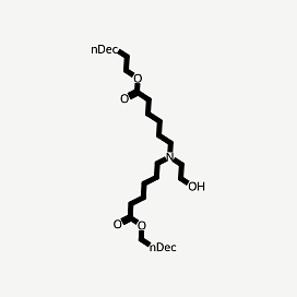 CCCCCCCCCCCCOC(=O)CCCCCN(CCO)CCCCCC(=O)OCCCCCCCCCCC